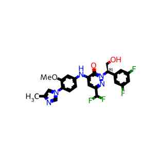 COc1cc(Nc2cc(C(F)F)nn([C@@H](CO)c3cc(F)cc(F)c3)c2=O)ccc1-n1cnc(C)c1